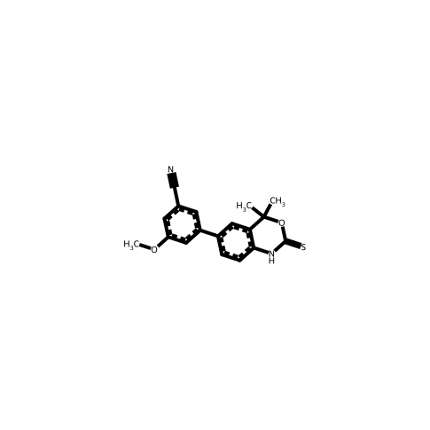 COc1cc(C#N)cc(-c2ccc3c(c2)C(C)(C)OC(=S)N3)c1